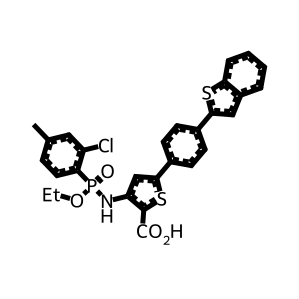 CCOP(=O)(Nc1cc(-c2ccc(-c3cc4ccccc4s3)cc2)sc1C(=O)O)c1ccc(C)cc1Cl